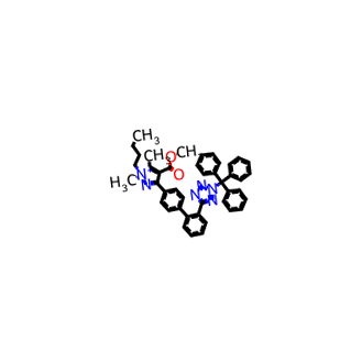 CCCC[N+]1(C)N=C(c2ccc(-c3ccccc3-c3nnn(C(c4ccccc4)(c4ccccc4)c4ccccc4)n3)cc2)C(C(=O)OC)=C1C